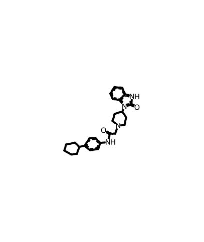 O=C(CN1CCC(n2c(=O)[nH]c3ccccc32)CC1)Nc1ccc(C2CCCCC2)cc1